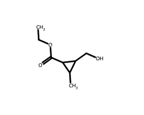 CCOC(=O)C1C(C)C1CO